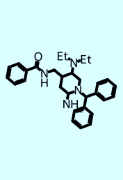 CCN(CC)C1CN(C(c2ccccc2)c2ccccc2)C(N)CC1CNC(=O)c1ccccc1